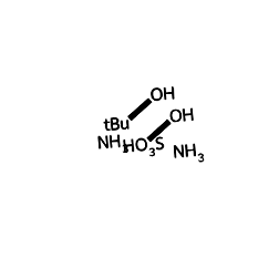 CC(C)(C)O.N.N.O=S(=O)(O)O